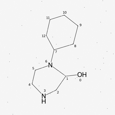 OC1CNCCN1C1CCCCC1